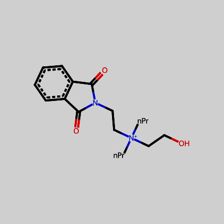 CCC[N+](CCC)(CCO)CCN1C(=O)c2ccccc2C1=O